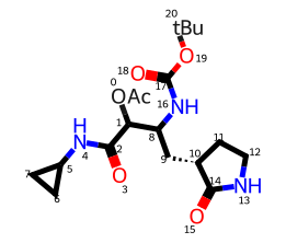 CC(=O)OC(C(=O)NC1CC1)C(C[C@@H]1CCNC1=O)NC(=O)OC(C)(C)C